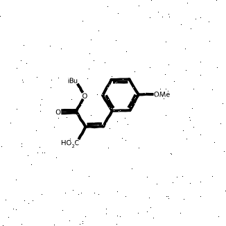 CCC(C)OC(=O)C(=Cc1cccc(OC)c1)C(=O)O